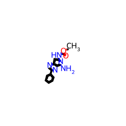 CCOC(=O)Nc1cc2ncc(-c3ccccc3)nc2c(N)n1